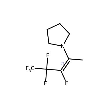 C/C(=C(\F)C(F)(F)C(F)(F)F)N1CCCC1